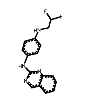 FC(F)CNc1ccc(Nc2ncc3ccccc3n2)cc1